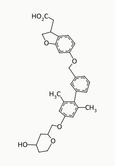 Cc1cc(OCC2CC(O)CCO2)cc(C)c1-c1cccc(COc2ccc3c(c2)OCC3CC(=O)O)c1